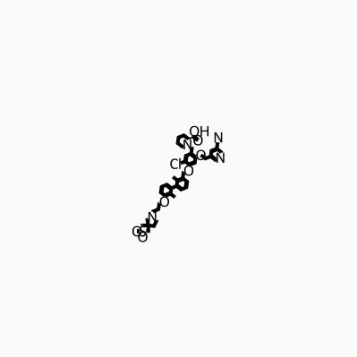 Cc1c(COc2cc(OCc3cncc(C#N)c3)c(CN3CCCC[C@H]3C(=O)O)cc2Cl)cccc1-c1cccc(OCCCN2CCC3(C2)CS(=O)(=O)C3)c1C